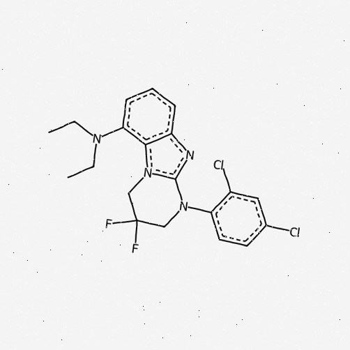 CCN(CC)c1cccc2nc3n(c12)CC(F)(F)CN3c1ccc(Cl)cc1Cl